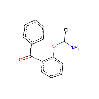 CC(N)Oc1ccccc1C(=O)c1ccccc1